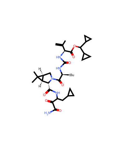 C=C(C)[C@H](NC(=O)N[C@H](C(=O)N1C[C@H]2[C@@H]([C@H]1C(=O)NC(CC1CC1)C(=O)C(N)=O)C2(C)C)C(C)(C)C)C(=O)OC(C1CC1)C1CC1